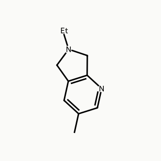 CCN1Cc2cc(C)cnc2C1